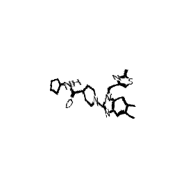 Cc1nc(Cn2c(N3CCC(C(=O)NC4CCCC4)CC3)nc3cc(C)c(C)cc32)cs1